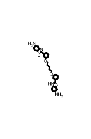 Nc1ccc2[nH]c(-c3cccc(OCCCCCOc4cccc(-c5nc6cc(N)ccc6[nH]5)c4)c3)nc2c1